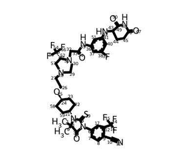 CC1(C)C(=O)N(c2ccc(C#N)c(C(F)(F)F)c2)C(=S)N1[C@H]1CC[C@H](OCCN2CCN(CC(=O)Nc3cc(F)cc(NC4CCC(=O)NC4=O)c3)[C@@H](C(F)(F)F)C2)CC1